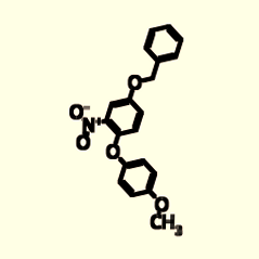 COc1ccc(Oc2ccc(OCc3ccccc3)cc2[N+](=O)[O-])cc1